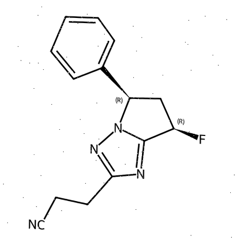 N#CCCc1nc2n(n1)[C@@H](c1ccccc1)C[C@H]2F